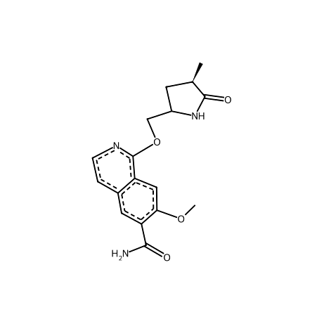 COc1cc2c(OCC3C[C@@H](C)C(=O)N3)nccc2cc1C(N)=O